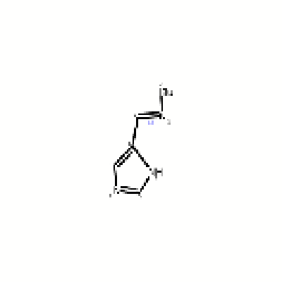 CCC(C)/N=C/c1cnc[nH]1